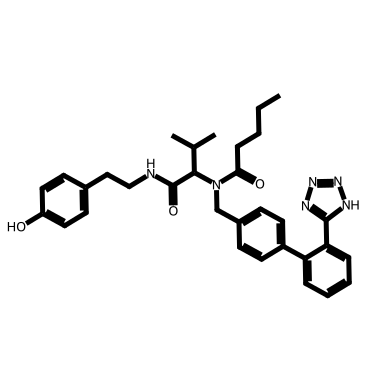 CCCCC(=O)N(Cc1ccc(-c2ccccc2-c2nnn[nH]2)cc1)C(C(=O)NCCc1ccc(O)cc1)C(C)C